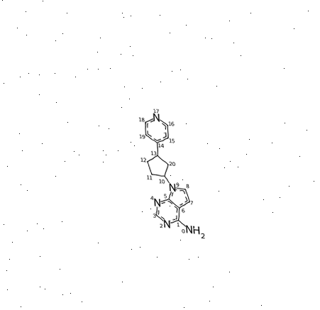 Nc1ncnc2c1ccn2C1CCC(c2ccncc2)C1